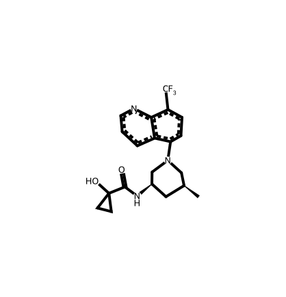 C[C@H]1C[C@@H](NC(=O)C2(O)CC2)CN(c2ccc(C(F)(F)F)c3ncccc23)C1